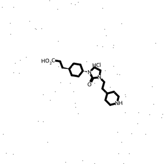 Cl.O=C(O)CC[C@H]1CC[C@H](N2CCN(CCC3CCNCC3)C2=O)CC1